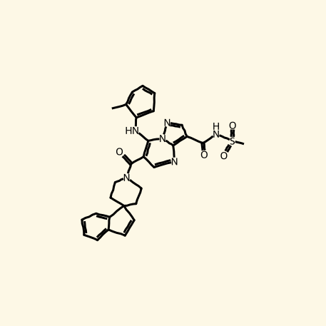 Cc1ccccc1Nc1c(C(=O)N2CCC3(C=Cc4ccccc43)CC2)cnc2c(C(=O)NS(C)(=O)=O)cnn12